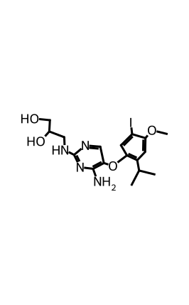 COc1cc(C(C)C)c(Oc2cnc(NCC(O)CO)nc2N)cc1I